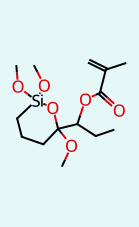 C=C(C)C(=O)OC(CC)C1(OC)CCC[Si](OC)(OC)O1